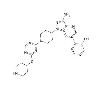 Nc1nn(C2CCN(c3ccnc(OC4CCNCC4)c3)CC2)c2cc(-c3ccccc3O)nnc12